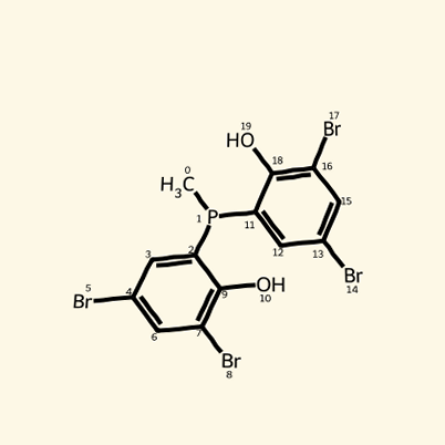 CP(c1cc(Br)cc(Br)c1O)c1cc(Br)cc(Br)c1O